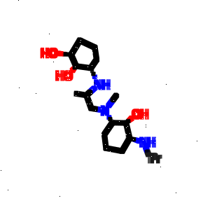 CC(C)N[C@H]1CCC[C@H](N(C)CC(C)N[C@H]2CCC[C@H](O)[C@@H]2O)[C@H]1O